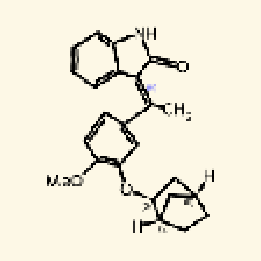 COc1ccc(/C(C)=C2/C(=O)Nc3ccccc32)cc1O[C@H]1C[C@@H]2CC[C@H]1C2